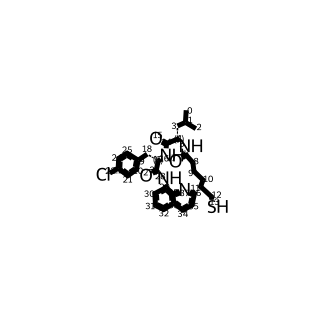 CC(C)C[C@H](NC(=O)CCCCCS)C(=O)N[C@@H](Cc1ccc(Cl)cc1)C(=O)Nc1cccc2cccnc12